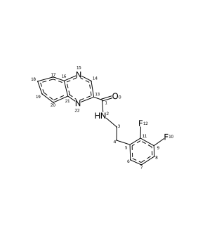 O=C(NCCc1cccc(F)c1F)c1cnc2ccccc2n1